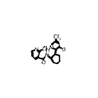 O=C(NC1CCCCC1c1ncc(C(F)(F)F)cc1Cl)c1cccnc1Cl